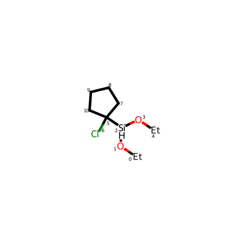 CCO[SiH](OCC)C1(Cl)CCCC1